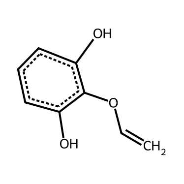 C=COc1c(O)cccc1O